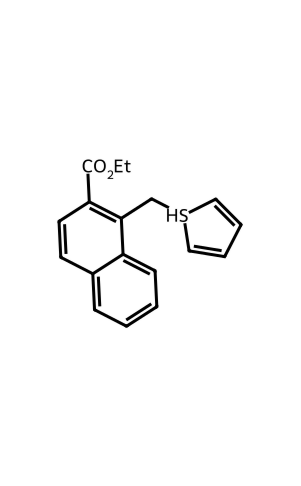 CCOC(=O)c1ccc2ccccc2c1C[SH]1C=CC=C1